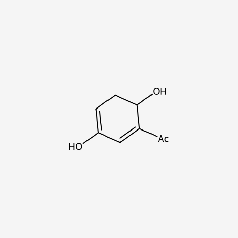 CC(=O)C1=CC(O)=CCC1O